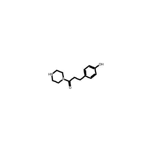 O=C(CCc1ccc(O)cc1)N1CCNCC1